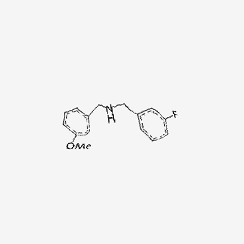 COc1cccc(CNCc2cccc(F)c2)c1